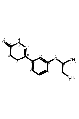 CCC(C)Oc1cccc(C2=NNC(=O)CC2)c1